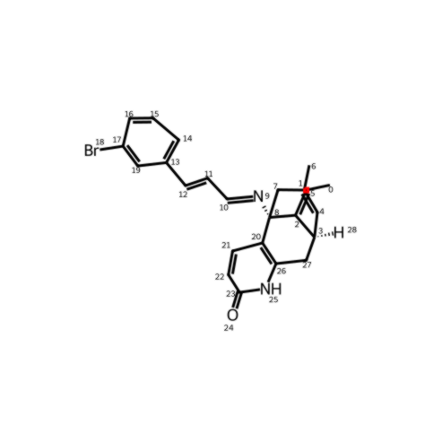 C/C=C1\[C@H]2C=C(C)C[C@]1(/N=C/C=C/c1cccc(Br)c1)c1ccc(=O)[nH]c1C2